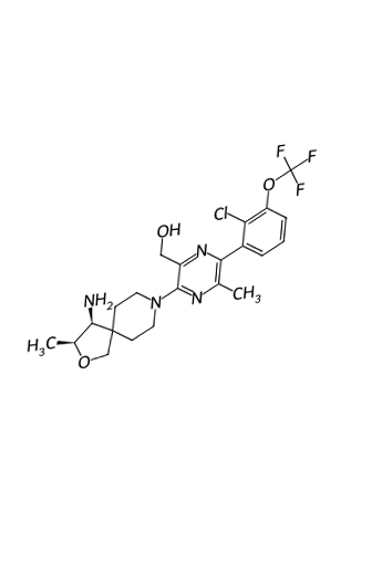 Cc1nc(N2CCC3(CC2)CO[C@@H](C)[C@H]3N)c(CO)nc1-c1cccc(OC(F)(F)F)c1Cl